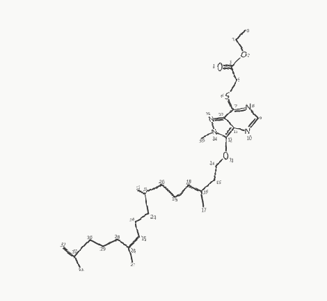 CCOC(=O)CSc1ncnc2c(OCCC(C)CCCC(C)CCCC(C)CCCC(C)C)n(C)nc12